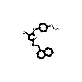 CCCOc1ccc(Oc2sc(NCc3cccc4ccccc34)cc2Cl)cc1